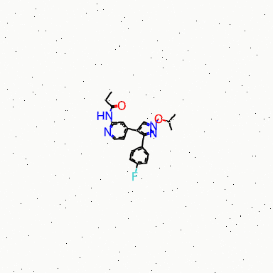 CCC(=O)Nc1cc(-c2cn(OC(C)C)nc2-c2ccc(F)cc2)ccn1